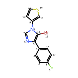 Fc1ccc(-c2ncn(-c3ccsc3)c2Br)cc1